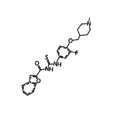 CN1CCC(COc2ccc(NC(=S)NC(=O)c3cc4ccccc4o3)cc2F)CC1